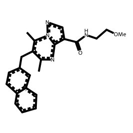 COCCNC(=O)c1cnn2c(C)c(Cc3ccc4ccccc4c3)c(C)nc12